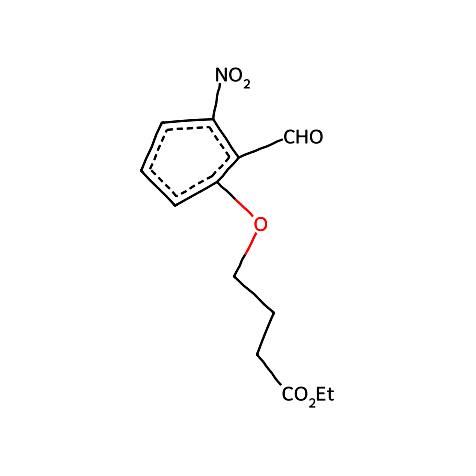 CCOC(=O)CCCOc1cccc([N+](=O)[O-])c1C=O